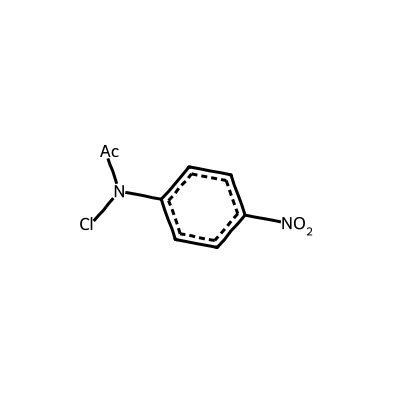 CC(=O)N(Cl)c1ccc([N+](=O)[O-])cc1